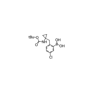 CC(C)(C)OC(=O)NC1(Cc2ccc(Cl)cc2B(O)O)CC1